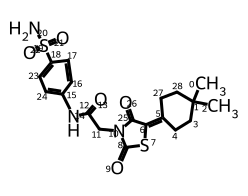 CC1(C)CCC(=C2SC(=O)N(CC(=O)Nc3ccc(S(N)(=O)=O)cc3)C2=O)CC1